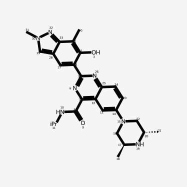 Cc1c(O)c(-c2nc(C(=O)NC(C)C)c3cc(N4C[C@H](C)N[C@@H](C)C4)ccc3n2)cc2cn(C)nc12